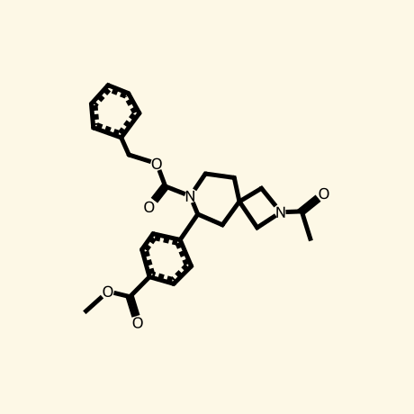 COC(=O)c1ccc(C2CC3(CCN2C(=O)OCc2ccccc2)CN(C(C)=O)C3)cc1